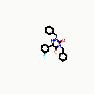 O=c1c(-c2cccc(F)c2)nn(Cc2ccccc2)c(=O)n1Cc1ccccc1